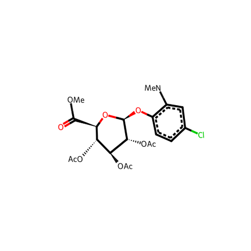 CNc1cc(Cl)ccc1O[C@@H]1O[C@H](C(=O)OC)[C@@H](OC(C)=O)[C@H](OC(C)=O)[C@H]1OC(C)=O